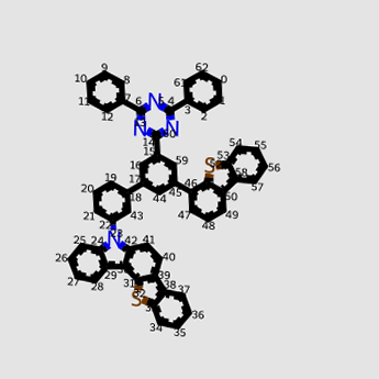 c1ccc(-c2nc(-c3ccccc3)nc(-c3cc(-c4cccc(-n5c6ccccc6c6c7sc8ccccc8c7ccc65)c4)cc(-c4cccc5c4sc4ccccc45)c3)n2)cc1